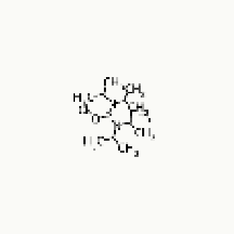 CC(C)N(C(C)C)P(OCl)N(C(C)C)C(C)C